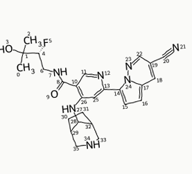 CC(C)(O)[C@H](F)CNC(=O)c1cnc(-c2ccc3cc(C#N)cnn23)cc1NC1C2CCC1CNC2